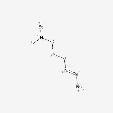 CCN(C)[CH]CCN=N[N+](=O)[O-]